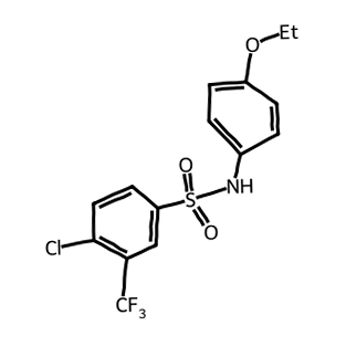 CCOc1ccc(NS(=O)(=O)c2ccc(Cl)c(C(F)(F)F)c2)cc1